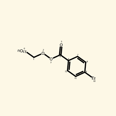 [CH2]CCCCCCCCOOC(=O)c1ccc(CC)cc1